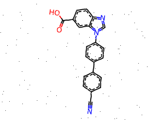 N#Cc1ccc(-c2ccc(-n3cnc4ccc(C(=O)O)cc43)cc2)cc1